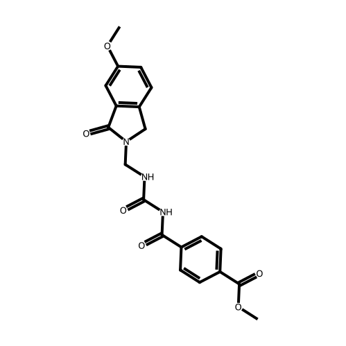 COC(=O)c1ccc(C(=O)NC(=O)NCN2Cc3ccc(OC)cc3C2=O)cc1